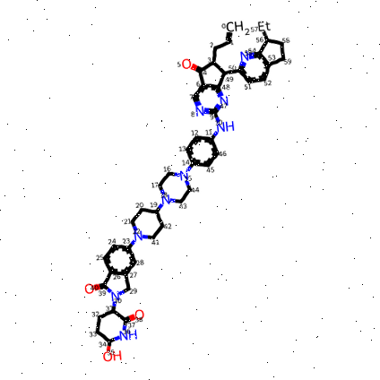 C=CCC1C(=O)c2cnc(Nc3ccc(N4CCN(C5CCN(c6ccc7c(c6)CN(C6CCC(O)NC6=O)C7=O)CC5)CC4)cc3)nc2C1c1ccc2c(n1)C(CC)CC2